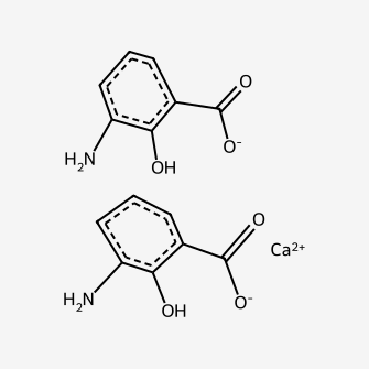 Nc1cccc(C(=O)[O-])c1O.Nc1cccc(C(=O)[O-])c1O.[Ca+2]